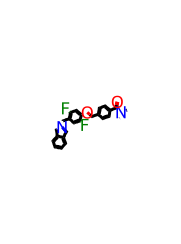 CN(C)C(=O)c1ccc(COc2cc(F)c(CN3Cc4ccccc4C3)cc2F)cc1